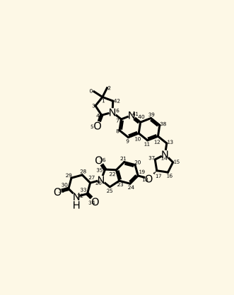 CC1(C)CC(=O)N(c2ccc3cc(CN4CC[C@H](Oc5ccc6c(c5)CN(C5CCC(=O)NC5=O)C6=O)C4)ccc3n2)C1